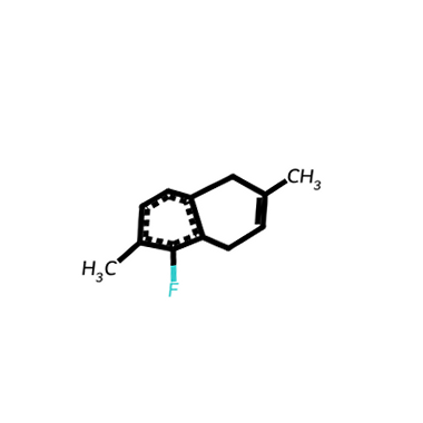 CC1=CCc2c(ccc(C)c2F)C1